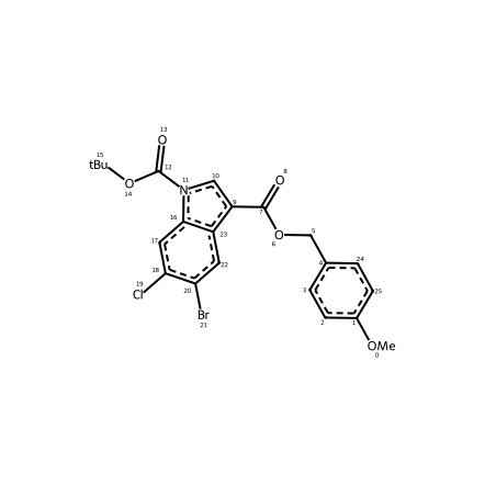 COc1ccc(COC(=O)c2cn(C(=O)OC(C)(C)C)c3cc(Cl)c(Br)cc23)cc1